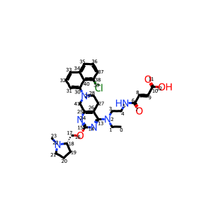 CCN(CCNC(=O)/C=C/C(=O)O)c1nc(OC[C@@H]2CCCN2C)nc2c1CCN(c1cccc3cccc(Cl)c13)C2